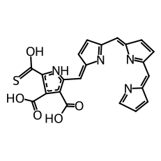 O=C(O)c1c(C=C2C=CC(C=C3C=CC(C=C4C=CC=N4)=N3)=N2)[nH]c(C(O)=S)c1C(=O)O